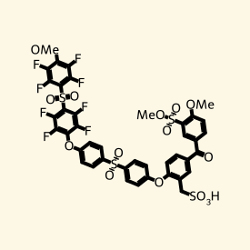 COc1ccc(C(=O)c2ccc(Oc3ccc(S(=O)(=O)c4ccc(Oc5c(F)c(F)c(S(=O)(=O)c6c(F)c(F)c(OC)c(F)c6F)c(F)c5F)cc4)cc3)c(CS(=O)(=O)O)c2)cc1S(=O)(=O)OC